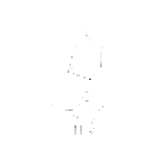 [S]c1nccn1-c1ccccc1